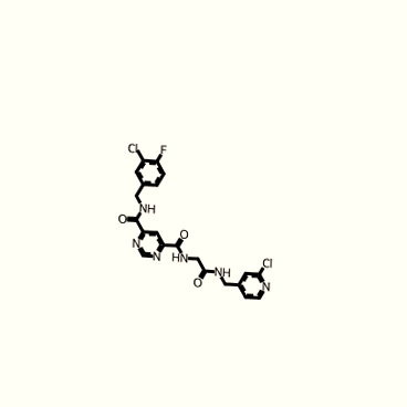 O=C(CNC(=O)c1cc(C(=O)NCc2ccc(F)c(Cl)c2)ncn1)NCc1ccnc(Cl)c1